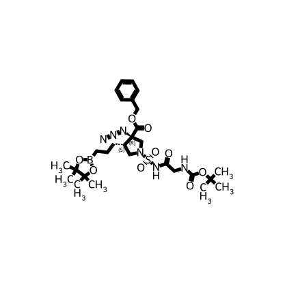 CC(C)(C)OC(=O)NCC(=O)NS(=O)(=O)N1C[C@H](CCCB2OC(C)(C)C(C)(C)O2)[C@](N=[N+]=[N-])(C(=O)OCc2ccccc2)C1